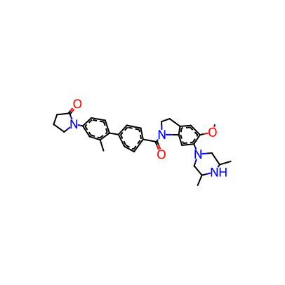 COc1cc2c(cc1N1CC(C)NC(C)C1)N(C(=O)c1ccc(-c3ccc(N4CCCC4=O)cc3C)cc1)CC2